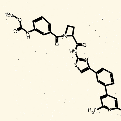 Cc1cc(-c2cccc(-c3csc(NC(=O)C4CCN4C(=O)c4cccc(NC(=O)OC(C)(C)C)c4)n3)c2)cc(C)n1